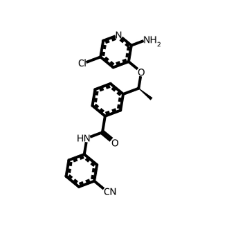 C[C@H](Oc1cc(Cl)cnc1N)c1cccc(C(=O)Nc2cccc(C#N)c2)c1